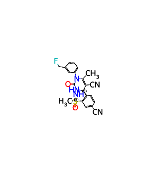 CC1=C(C#N)[C@@H](c2ccc(C#N)cc2[S@@](C)(=N)=O)NC(=O)N1c1cccc(CF)c1